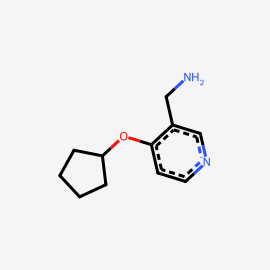 NCc1cnccc1OC1CCCC1